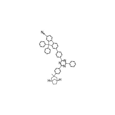 CC1(c2ccc(-c3nc(-c4ccccc4)nc(-c4ccc(-c5ccc6c(c5)C(c5ccccc5)(c5ccccc5)c5cc(C#N)ccc5-6)cc4)n3)cc2)C[C@@H]2CC[C@@H](C2)C1